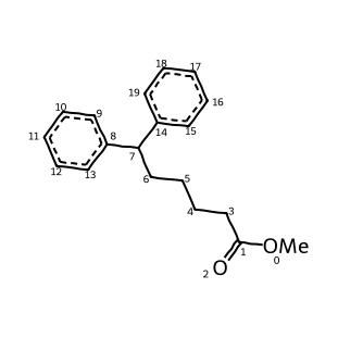 COC(=O)CCCCC(c1ccccc1)c1ccccc1